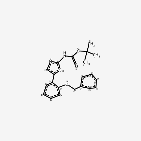 CC(C)(C)OC(=O)Nc1ncc(-c2ccccc2OCc2ccccc2)s1